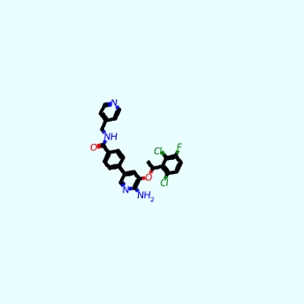 CC(Oc1cc(-c2ccc(C(=O)NCc3ccncc3)cc2)cnc1N)c1c(Cl)ccc(F)c1Cl